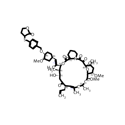 C=CC[C@@H]1/C=C(\C)C[C@H](C)C[C@H](OC)C2O[C@@](O)(C(=O)C(=O)N3CCCC[C@H]3C(=O)O[C@H](/C(C)=C/[C@@H]3CC[C@@H](OCc4ccc(SC5CCOC5=O)cc4)[C@H](OC)C3)[C@H](C)[C@@H](O)CC1=O)[C@H](C)C[C@@H]2OC